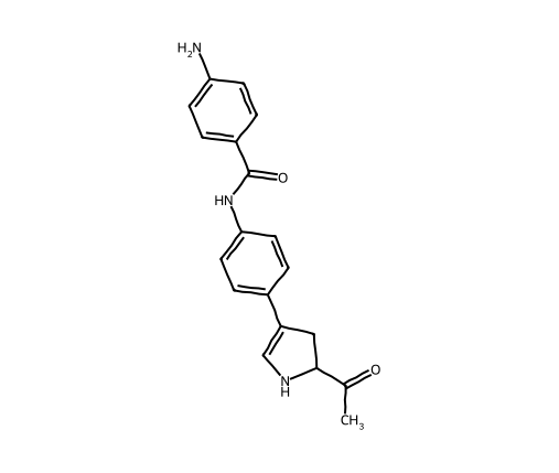 CC(=O)C1CC(c2ccc(NC(=O)c3ccc(N)cc3)cc2)=CN1